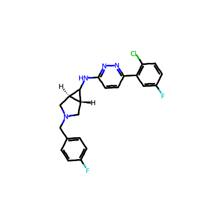 Fc1ccc(CN2C[C@H]3C(Nc4ccc(-c5cc(F)ccc5Cl)nn4)[C@@H]3C2)cc1